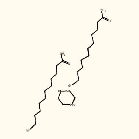 C1CNCCN1.NC(=O)CCCCCCCCCCBr.NC(=O)CCCCCCCCCCBr